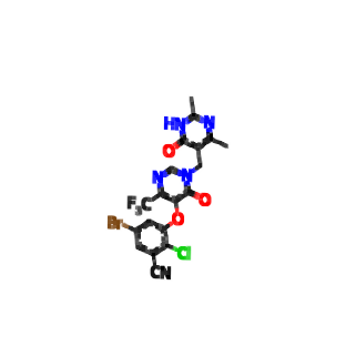 Cc1nc(C)c(Cn2cnc(C(F)(F)F)c(Oc3cc(Br)cc(C#N)c3Cl)c2=O)c(=O)[nH]1